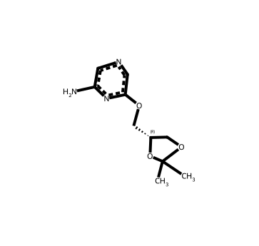 CC1(C)OC[C@@H](COc2cncc(N)n2)O1